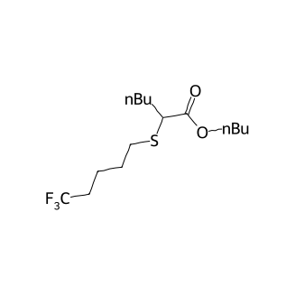 CCCCOC(=O)C(CCCC)SCCCCC(F)(F)F